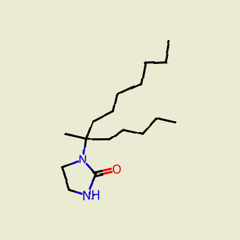 CCCCCCCC(C)(CCCCC)N1CCNC1=O